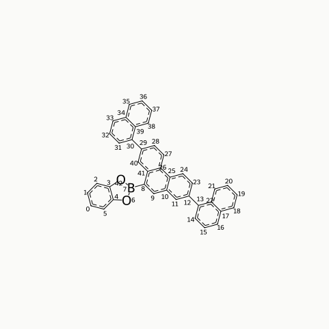 c1ccc2c(c1)OB(c1cc3cc(-c4cccc5ccccc45)ccc3c3ccc(-c4cccc5ccccc45)cc13)O2